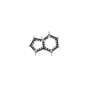 [c]1cnc2nccn2n1